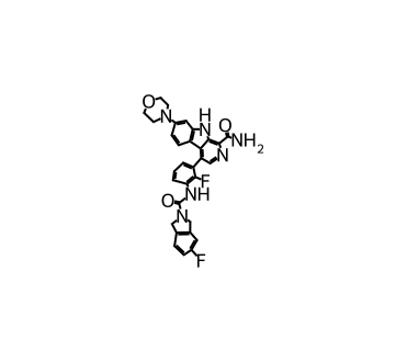 NC(=O)c1ncc(-c2cccc(NC(=O)N3Cc4ccc(F)cc4C3)c2F)c2c1[nH]c1cc(N3CCOCC3)ccc12